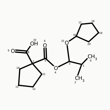 CC(C)C(OC(=O)C1(C(=O)O)CCCC1)OC1CCCC1